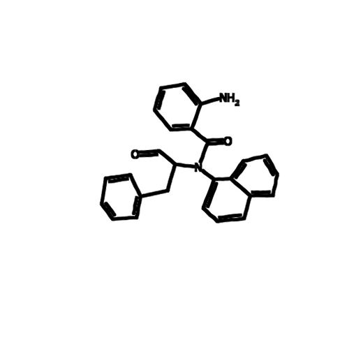 Nc1ccccc1C(=O)N(c1cccc2ccccc12)C(C=O)Cc1ccccc1